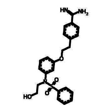 N=C(N)c1ccc(CCOc2cccc(N(CCO)S(=O)(=O)c3ccccc3)c2)cc1